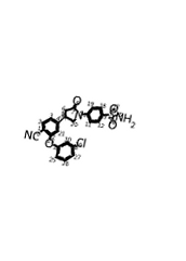 N#Cc1ccc([C@H]2CC(=O)N(c3ccc(S(N)(=O)=O)cc3)C2)cc1Oc1cccc(Cl)c1